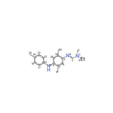 CCN(C)C=Nc1cc(C)c(Nc2ccc(C)cc2)cc1C